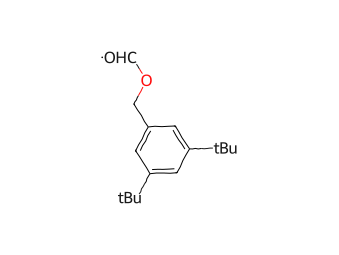 CC(C)(C)c1cc(CO[C]=O)cc(C(C)(C)C)c1